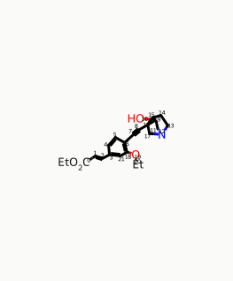 CCOC(=O)C=Cc1ccc(C#CC2(O)CN3CCC2CC3)c(OCC)c1